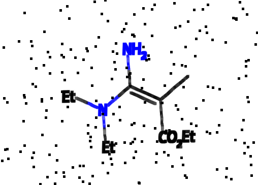 CCOC(=O)C(C)=C(N)N(CC)CC